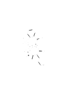 C=C1/C(=C\C=C/C)C(=O)O[B-]2(OC(=O)c3ccccc3S(=O)(=O)O2)OS1(=O)=O